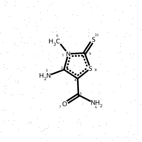 Cn1c(N)c(C(N)=O)sc1=S